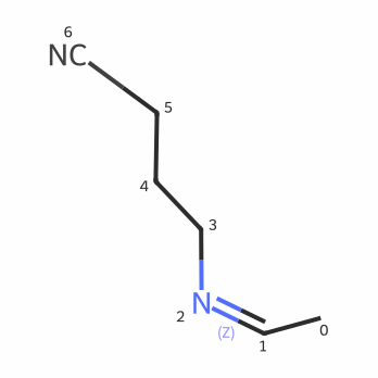 C/C=N\CCCC#N